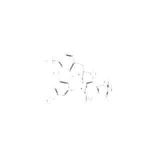 Cc1nn(C)c(-c2nnc(Cc3ccc(Cl)c(Oc4cc(Cl)cc(C#N)c4)c3F)o2)c1Br